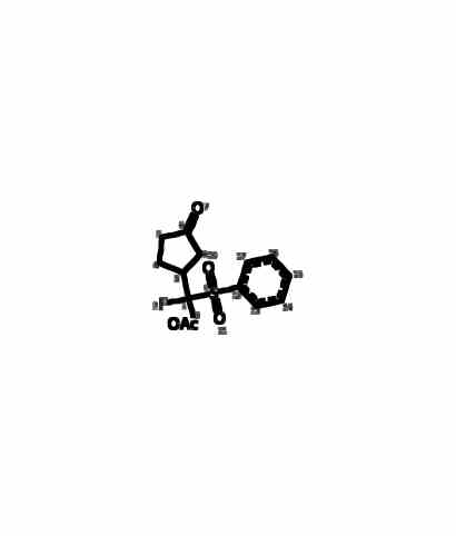 CC(=O)OC(F)(C1CCC(=O)C1)S(=O)(=O)c1ccccc1